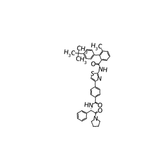 Cc1cccc(C(=O)Nc2nc(-c3ccc(C(=O)N[C@H](C(=O)N4CCCC4)c4ccccc4)cc3)cs2)c1-c1ccc(C(C)(C)C)cc1